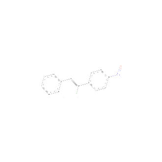 O=[N+]([O-])c1ccc(C(Br)=Cc2ccccc2Br)cc1